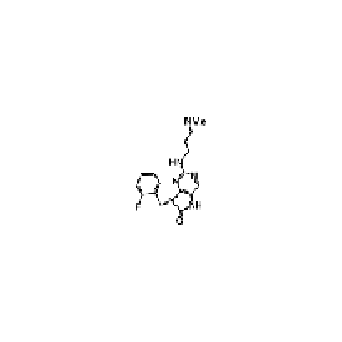 CNCCCNc1ncc2[nH]c(=O)n(Cc3ccccc3F)c2n1